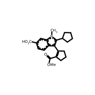 COC(=O)C1=C(c2c(C3CCCC3)n(C)c3cc(C(=O)O)ccc23)CCC1